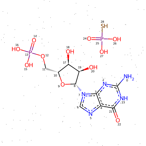 Nc1nc2c(ncn2[C@@H]2O[C@H](COP(=O)(O)O)[C@@H](O)[C@H]2O)c(=O)[nH]1.O=P(O)(O)S